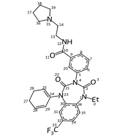 CCN1C(=O)N(c2cccc(C(=O)NCCN3CCCC3)c2)C(=O)N(C2=CCCC=C2)c2cc(C(F)(F)F)ccc21